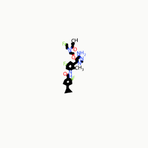 C#CC(=O)N(CCF)CCOc1c(N)ncnc1-c1cc(F)cc(NC(=O)c2ccc(C3CC3)cc2F)c1C